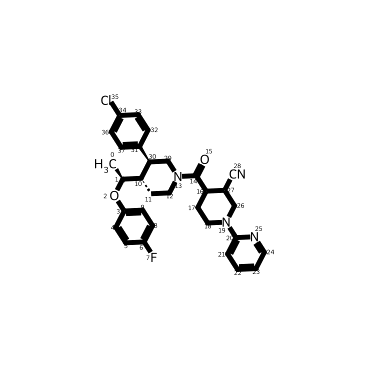 C[C@H](Oc1ccc(F)cc1)[C@H]1CCN(C(=O)C2CCN(c3ccccn3)CC2C#N)C[C@@H]1c1ccc(Cl)cc1